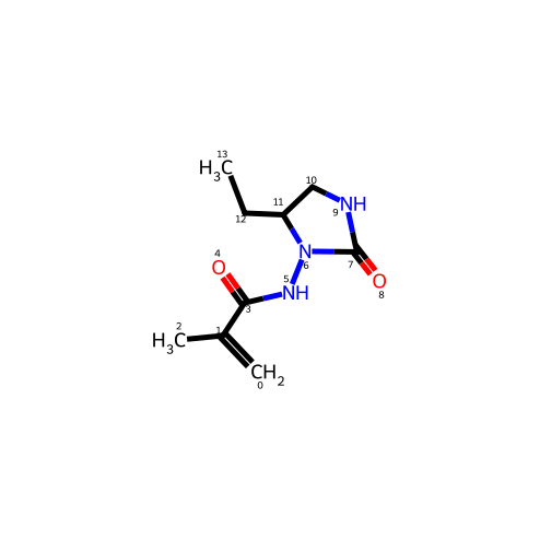 C=C(C)C(=O)NN1C(=O)NCC1CC